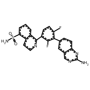 Nc1ncc2cc(-c3c(F)ccc(-c4nccc5c(S(N)(=O)=O)cccc45)c3F)ccc2n1